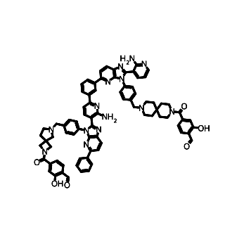 Nc1ncccc1-c1nc2ccc(-c3cccc(-c4ccc(-c5nc6ccc(-c7ccccc7)nc6n5-c5ccc(CN6CCC7(C6)CN(C(=O)c6ccc(C=O)c(O)c6)C7)cc5)c(N)n4)c3)nc2n1-c1ccc(CN2CCC3(CC2)CCN(C(=O)c2ccc(C=O)c(O)c2)CC3)cc1